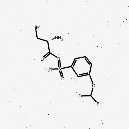 CC(C)C[C@H](N)C(=O)N=S(N)(=O)c1cccc(OC(F)F)c1